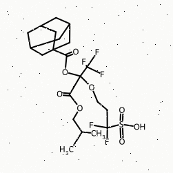 CC(C)COC(=O)C(OCCC(F)(F)S(=O)(=O)O)(OC(=O)C12CC3CC(CC(C3)C1)C2)C(F)(F)F